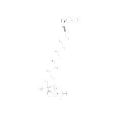 CCCCCCCCC#CCCCCCCCCCCC(I)(I)C(=O)O